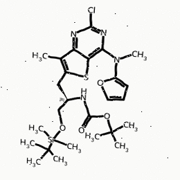 Cc1c(C[C@H](CO[Si](C)(C)C(C)(C)C)NC(=O)OC(C)(C)C)sc2c(N(C)c3ccco3)nc(Cl)nc12